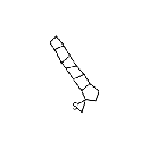 C1CC2C1C1C2C2C1C1C3CCC4(CS4)C3C12